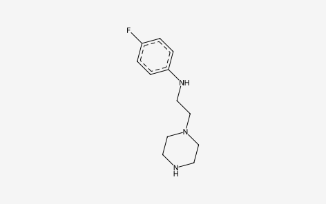 Fc1ccc(NCCN2CCNCC2)cc1